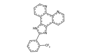 FC(F)(F)c1ccccc1-c1nc2c3cccnc3c3ncccc3c2[nH]1